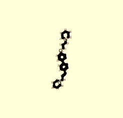 C(=Cc1ccc(-c2ccc(OCCCN3CCCCC3)cc2)cc1)CN1CCCCC1